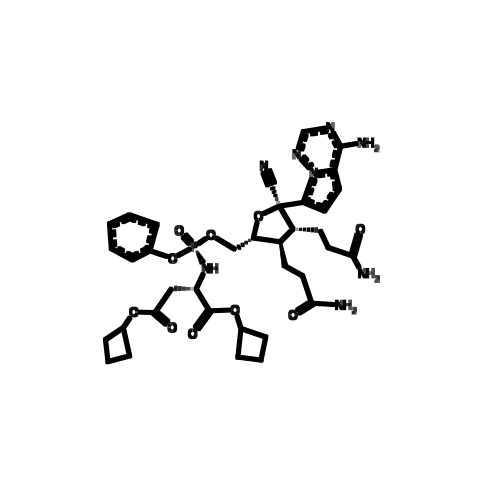 N#C[C@@]1(c2ccc3c(N)ncnn23)O[C@@H](CO[P@](=O)(N[C@@H](CC(=O)OC2CCC2)C(=O)OC2CCC2)Oc2ccccc2)[C@H](CCC(N)=O)[C@H]1CCC(N)=O